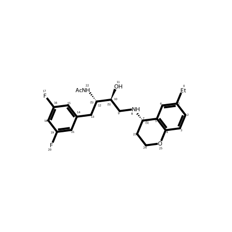 CCc1ccc2c(c1)[C@@H](NC[C@H](O)[C@H](Cc1cc(F)cc(F)c1)NC(C)=O)CCO2